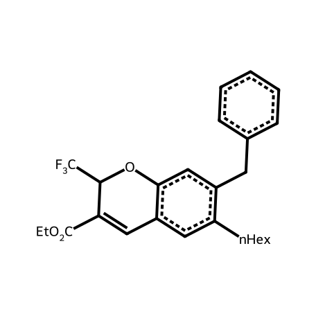 CCCCCCc1cc2c(cc1Cc1ccccc1)OC(C(F)(F)F)C(C(=O)OCC)=C2